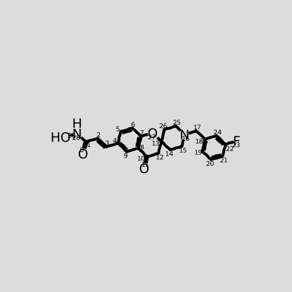 O=C(C=Cc1ccc2c(c1)C(=O)CC1(CCN(Cc3cccc(F)c3)CC1)O2)NO